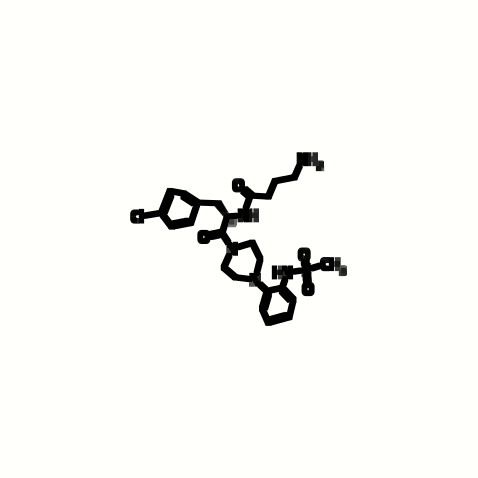 CS(=O)(=O)Nc1ccccc1N1CCN(C(=O)[C@@H](Cc2ccc(Cl)cc2)NC(=O)CCCN)CC1